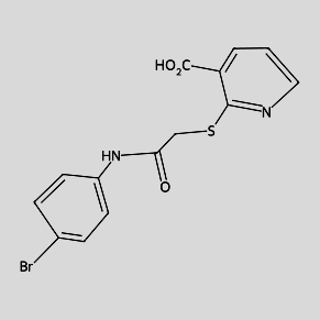 O=C(CSc1ncccc1C(=O)O)Nc1ccc(Br)cc1